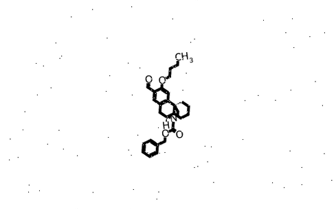 CCCCOc1cc2c(cc1C=O)C[C@H]1C3CCCC[C@@]23CCN1C(=O)OCc1ccccc1